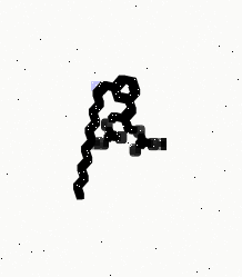 CCCCCCCCCCC/C=C\c1cccc(C=C(COC(=O)O)COC(=O)O)c1